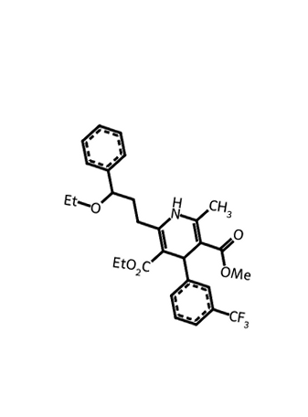 CCOC(=O)C1=C(CCC(OCC)c2ccccc2)NC(C)=C(C(=O)OC)C1c1cccc(C(F)(F)F)c1